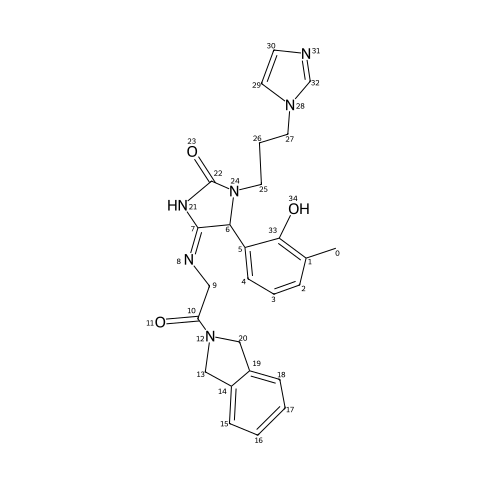 Cc1cccc(C2C(=NCC(=O)N3Cc4ccccc4C3)NC(=O)N2CCCn2ccnc2)c1O